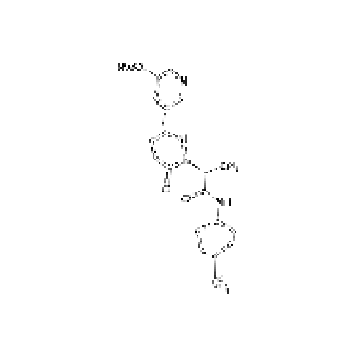 COc1cncc(-c2ccc(=O)n(C(C)C(=O)Nc3ccc(C(F)(F)F)cc3)n2)c1